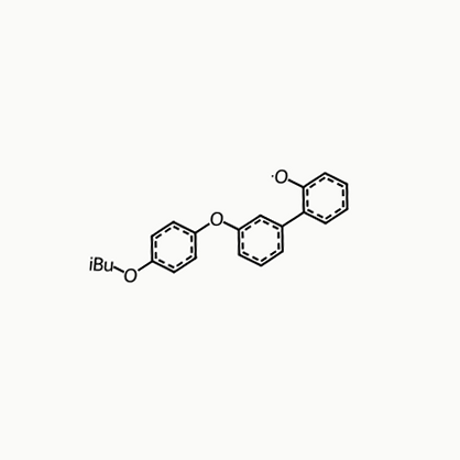 CCC(C)Oc1ccc(Oc2cccc(-c3ccccc3[O])c2)cc1